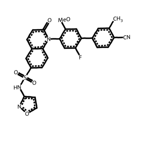 COc1cc(-c2ccc(C#N)c(C)c2)c(F)cc1-n1c(=O)ccc2cc(S(=O)(=O)Nc3ccon3)ccc21